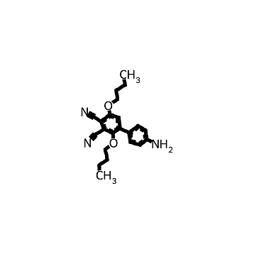 CCCCOc1cc(-c2ccc(N)cc2)c(OCCCC)c(C#N)c1C#N